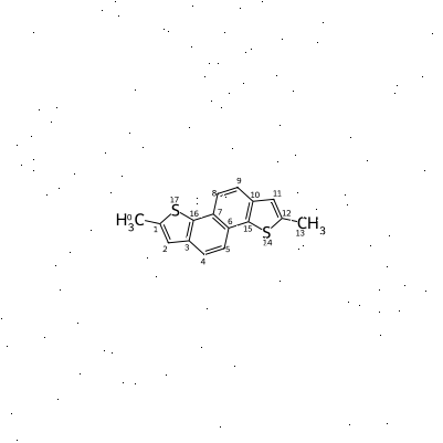 Cc1cc2ccc3c(ccc4cc(C)sc43)c2s1